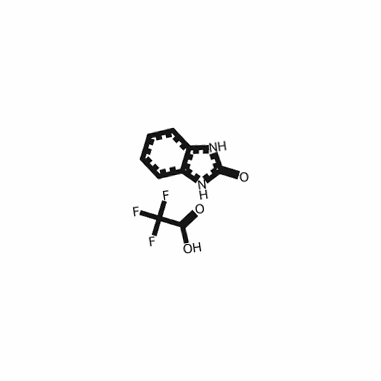 O=C(O)C(F)(F)F.O=c1[nH]c2ccccc2[nH]1